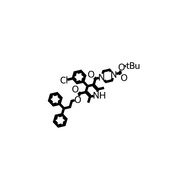 CC1=C(C(=O)OCCC(c2ccccc2)c2ccccc2)C(c2cccc(Cl)c2)C(C(=O)N2CCN(C(=O)OC(C)(C)C)CC2)=C(C)N1